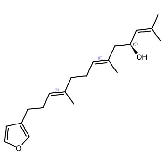 CC(C)=C[C@@H](O)C/C(C)=C/CC/C(C)=C/CCc1ccoc1